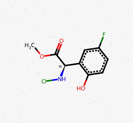 COC(=O)[C@H](NCl)c1cc(F)ccc1O